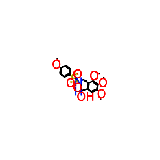 COc1ccc(S(=O)(=O)NCc2c(C(=O)O)cc(OC)c(OC)c2OC)cc1